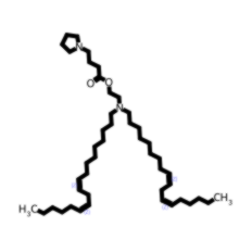 CCCCC/C=C\C/C=C\CCCCCCCCN(CCCCCCCC/C=C\C/C=C\CCCCC)CCOC(=O)CCCN1CCCC1